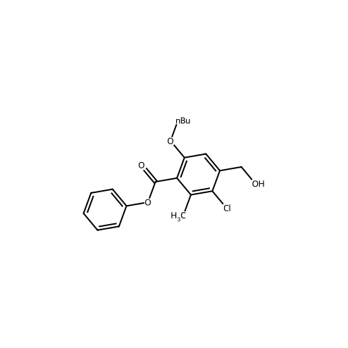 CCCCOc1cc(CO)c(Cl)c(C)c1C(=O)Oc1ccccc1